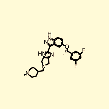 C[C@H](Oc1ccc2[nH]nc(-c3nc4c([nH]3)CN(CC3CCN(C)CC3)C4)c2c1)c1cc(F)cc(F)c1